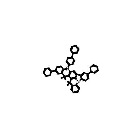 CC1(C)c2cc(C3=CC=CCC3)ccc2N(c2ccc(-c3ccccc3)cc2)c2cc3c4cc(C5C=CC=CC5)ccc4n4c3c(c21)C(C)(C)c1ccccc1-4